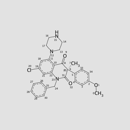 COc1ccc([C@]2(C)C(=O)c3c(N4CCNCC4)cc(Cl)cc3N(Cc3ccccc3)C2=O)cc1